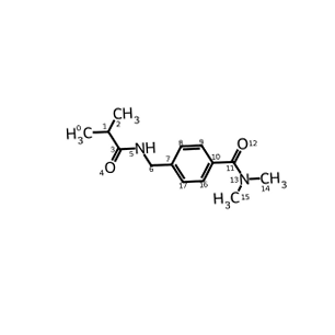 CC(C)C(=O)NCc1ccc(C(=O)N(C)C)cc1